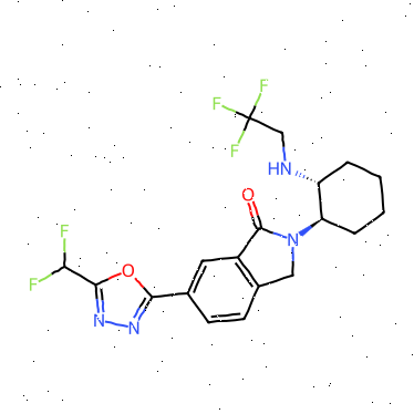 O=C1c2cc(-c3nnc(C(F)F)o3)ccc2CN1[C@@H]1CCCC[C@H]1NCC(F)(F)F